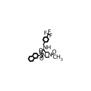 CC(=O)N1CCN(S(=O)(=O)c2ccc3ccccc3c2)C(C(=O)NCc2ccc(C(F)(F)F)cc2)C1